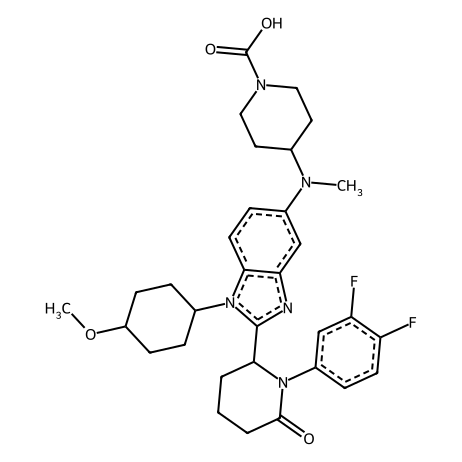 COC1CCC(n2c(C3CCCC(=O)N3c3ccc(F)c(F)c3)nc3cc(N(C)C4CCN(C(=O)O)CC4)ccc32)CC1